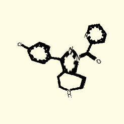 O=C(c1ccccn1)n1nc(-c2ccc(Cl)cc2)c2c1CCNCC2